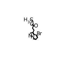 CCOC(=O)CCc1cnn2cccc(Br)c12